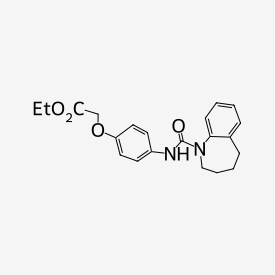 CCOC(=O)COc1ccc(NC(=O)N2CCCCc3ccccc32)cc1